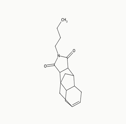 CCCCN1C(=O)C2C3CC4(CC5=CCC3C4C5)C2C1=O